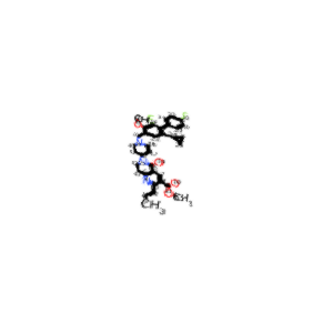 CCCc1nc2c(cc1C(=O)OC)C(=O)N(C1CCN(Cc3cc(C4CC4)c(-c4ccc(F)cc4)c(F)c3OC)CC1)CC2